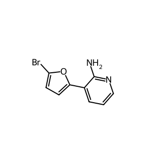 Nc1ncccc1-c1ccc(Br)o1